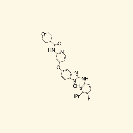 CC(C)c1cc(Nc2nc3cc(Oc4ccnc(NC(=O)C5CCOCC5)c4)ccc3n2C)ccc1F